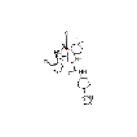 CC1(C)CCC2(CC1)N[C@@H](C(=O)NC1CCC(c3nnco3)CC1)[C@H](c1cccc(Cl)c1F)[C@]21C(=O)Nc2nc(Cl)ccc21